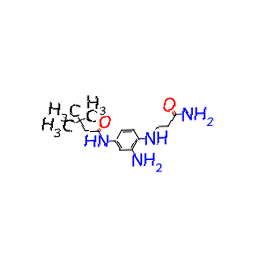 CC(C)(C)CC(=O)Nc1ccc(NCCC(N)=O)c(N)c1